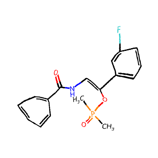 CP(C)(=O)OC(=CNC(=O)c1ccccc1)c1cccc(F)c1